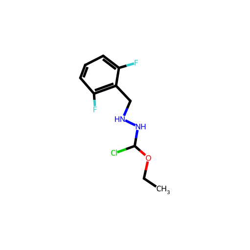 CCOC(Cl)NNCc1c(F)cccc1F